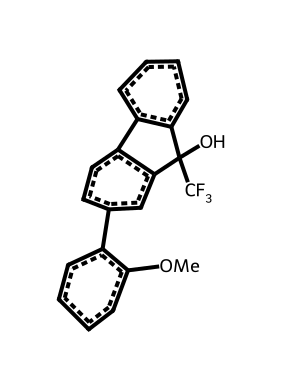 COc1ccccc1-c1ccc2c(c1)C(O)(C(F)(F)F)c1ccccc1-2